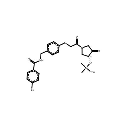 CCc1ccc(C(=O)NCc2ccc(OCC(=O)N3CC(=O)[C@H](O[Si](C)(C)C(C)(C)C)C3)cc2)cc1